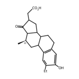 CCc1cc2c(cc1O)CCC1C2C[C@@H](C)C2C(=O)C(CC(=O)O)CC12